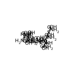 CC(C)C(N)C(=O)O.CC(C)CC(N)C(=O)O.CC(O)C(N)C(=O)O.CCC(C)C(N)C(=O)O.CSCCC(N)C(=O)O.NC(CSSCC(N)C(=O)O)C(=O)O.NC(Cc1c[nH]c2ccccc12)C(=O)O.NCCCCC(N)C(=O)O